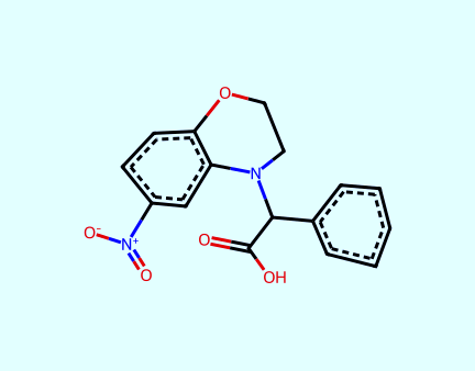 O=C(O)C(c1ccccc1)N1CCOc2ccc([N+](=O)[O-])cc21